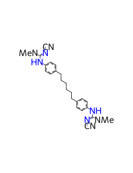 CNC(=NC#N)Nc1ccc(CCCCCCc2ccc(NC(=NC#N)NC)cc2)cc1